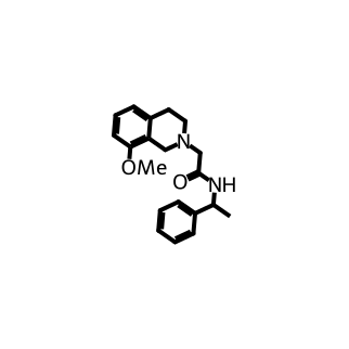 COc1cccc2c1CN(CC(=O)NC(C)c1ccccc1)CC2